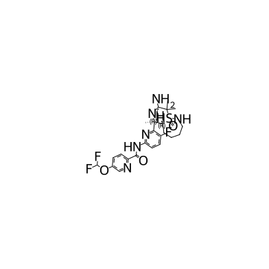 CC1(C)C(N)=N[C@](C)(c2nc(NC(=O)c3ccc(OC(F)F)cn3)ccc2F)[C@H]2CCCCN[SH]21=O